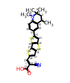 CC1CC(C)(C)N(C)c2ccc(-c3cc4sc5cc(/C=C(\C#N)C(=O)O)sc5c4s3)cc21